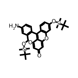 CC(C)(C)[Si](C)(C)OC(=O)c1cc(N)ccc1-c1c2ccc(=O)cc-2oc2cc(O[Si](C)(C)C(C)(C)C)ccc12